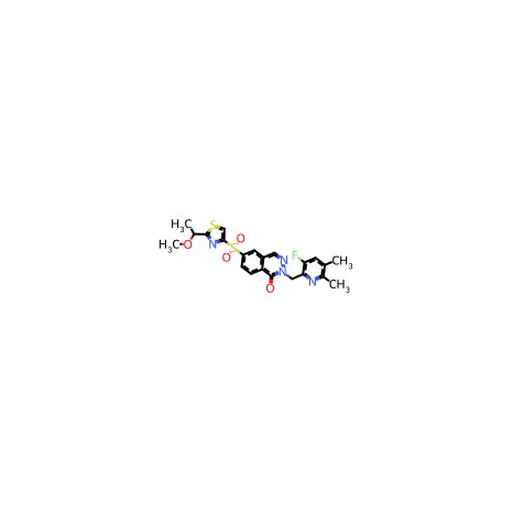 COC(C)c1nc(S(=O)(=O)c2ccc3c(=O)n(Cc4nc(C)c(C)cc4F)ncc3c2)cs1